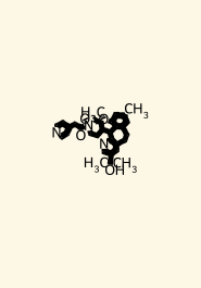 COc1cc(C)cc2c1C(C1CC[N+]([O-])(C(=O)Cc3ccncc3)CC1)c1ncc(C(C)(C)O)cc1CC2